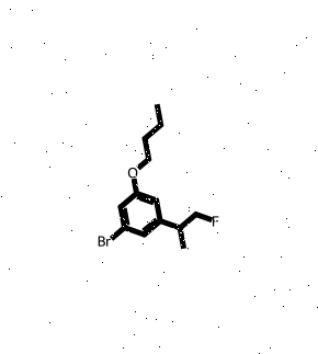 [CH2]C(CF)c1cc(Br)cc(OCCCC)c1